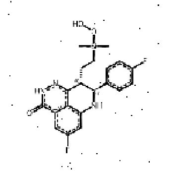 C[Si](C)(CC[C@H]1c2n[nH]c(=O)c3cc(F)cc(c23)N[C@@H]1c1ccc(F)cc1)OO